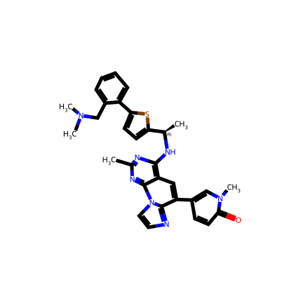 Cc1nc(N[C@H](C)c2ccc(-c3ccccc3CN(C)C)s2)c2cc(-c3ccc(=O)n(C)c3)c3nccn3c2n1